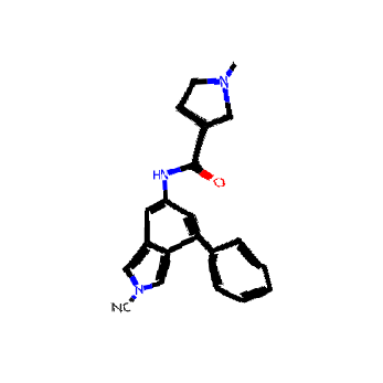 CN1CCC(C(=O)Nc2cc(-c3ccccc3)c3cn(C#N)cc3c2)C1